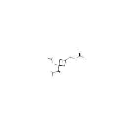 CC(C)NC1(C(=O)C(C)C)CC(CNC(=N)N)C1